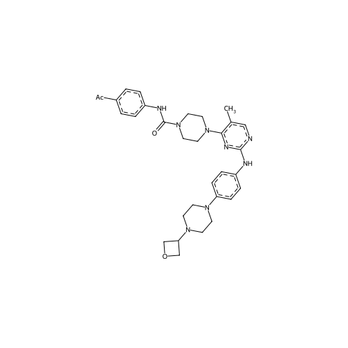 CC(=O)c1ccc(NC(=O)N2CCN(c3nc(Nc4ccc(N5CCN(C6COC6)CC5)cc4)ncc3C)CC2)cc1